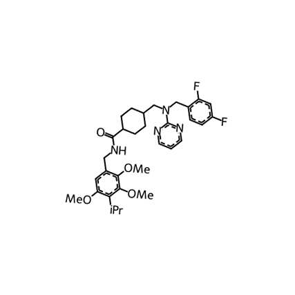 COc1cc(CNC(=O)C2CCC(CN(Cc3ccc(F)cc3F)c3ncccn3)CC2)c(OC)c(OC)c1C(C)C